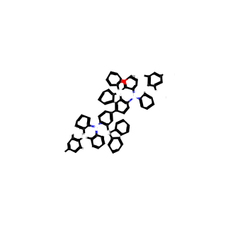 Cc1cc(C)c(Bc2ccccc2N2c3ccccc3[Si](c3ccccc3)(c3ccccc3)c3cc(-c4ccc5c(c4)[Si](c4ccccc4)(c4ccccc4)c4cccc6c4N5c4ccccc4B6c4c(C)cc(C)cc4C)ccc32)c(C)c1